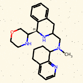 CN(CC1Cc2ccccc2[C@H](C2COCCN2)N1)C1CCCc2cccnc21